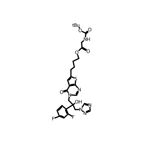 CC(C)(C)OC(=O)NCC(=O)OCCCCc1cc2c(=O)n(CC(O)(Cn3cncn3)c3ccc(F)cc3F)cnc2s1